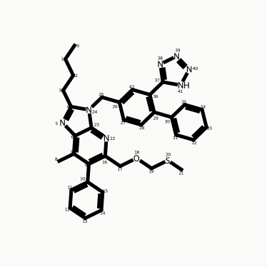 CCCCc1nc2c(C)c(-c3ccccc3)c(COCSC)nc2n1Cc1ccc(-c2ccccc2)c(-c2nnn[nH]2)c1